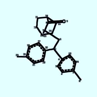 Cc1ccc(C(CC2C(=O)C3CCN2CC3)c2ccc(C)cc2)cc1